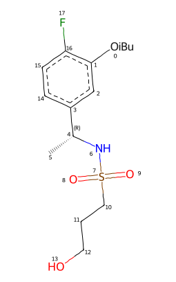 CC(C)COc1cc([C@@H](C)NS(=O)(=O)CCCO)ccc1F